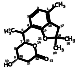 Cc1ccc(C(C)[C@@H]2C[C@@H](O)CC(=O)O2)c2c1CC(C)(C)O2